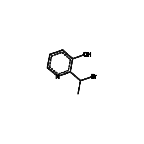 CC(Br)c1ncccc1O